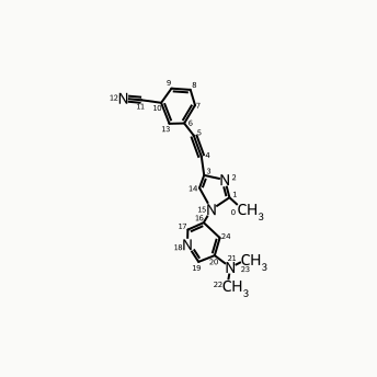 Cc1nc(C#Cc2cccc(C#N)c2)cn1-c1cncc(N(C)C)c1